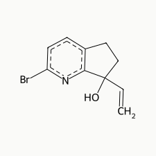 C=CC1(O)CCc2ccc(Br)nc21